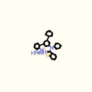 c1ccc(-c2cc3c4c(c2)N(c2ccccc2)c2c(sc5ccccc25)B4N2NNc4cccc-3c42)cc1